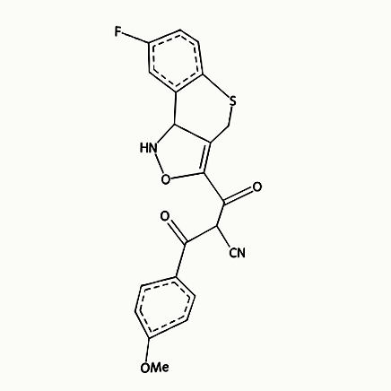 COc1ccc(C(=O)C(C#N)C(=O)C2=C3CSc4ccc(F)cc4C3NO2)cc1